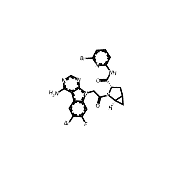 Nc1ncnc2c1c1cc(Br)c(F)cc1n2CC(=O)N1[C@@H]2CC2C[C@H]1C(=O)Nc1cccc(Br)n1